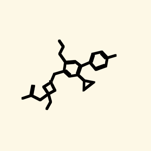 C=C(C)CC1(CC)CN(Cc2cc(C3CC3)c(-c3ccc(C)cc3)cc2CCC)C1